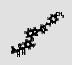 CN1CCN(CCn2cnc(-c3cc4nccc(Oc5ccc(NC(=O)NC6CC6)cc5F)c4s3)c2)CC1